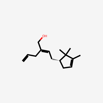 C=CC/C(=C\C[C@H]1CC=C(C)C1(C)C)CO